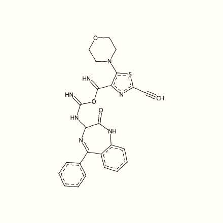 C#Cc1nc(C(=N)OC(=N)NC2N=C(c3ccccc3)c3ccccc3NC2=O)c(N2CCOCC2)s1